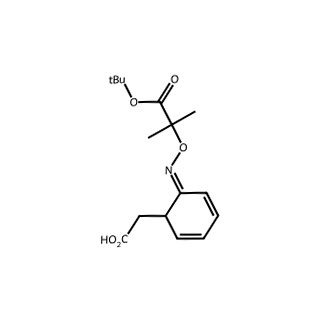 CC(C)(C)OC(=O)C(C)(C)O/N=C1\C=CC=CC1CC(=O)O